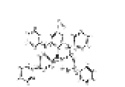 Cc1cc2c3c(c1)N(c1ccccc1)c1cc(-c4ccccc4)ccc1B3c1ccc(-c3ccccc3)cc1N2c1ccccc1